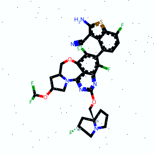 N#Cc1c(N)sc2c(F)ccc(-c3c(Cl)c4c5c(nc(OC[C@@]67CCCN6C[C@H](F)C7)nc5c3F)N3CC(OC(F)F)CC3CO4)c12